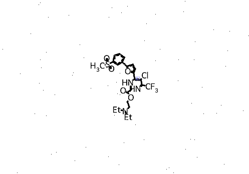 CCN(CC)CCOC(=O)CN/C(=C(/Cl)C(=N)C(F)(F)F)c1ccc(-c2cccc(S(C)(=O)=O)c2)o1